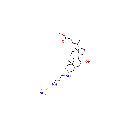 COC(=O)CC[C@@H](C)[C@H]1CCC2C3C(CC[C@@]21C)[C@@]1(C)CC[C@H](NCCCNCCCN)CC1C[C@H]3O